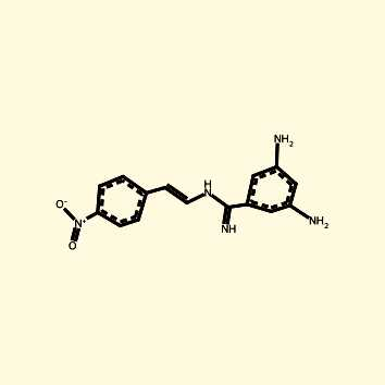 N=C(NC=Cc1ccc([N+](=O)[O-])cc1)c1cc(N)cc(N)c1